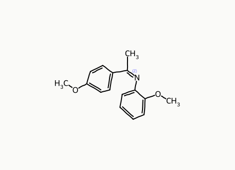 COc1ccc(/C(C)=N\c2ccccc2OC)cc1